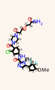 COc1ccc(-c2cnc(C(=O)Nc3ccc(C(=O)N4CCN(C(=O)CCOCCC(N)=O)CC4)c(Cl)c3)n2C)c(F)c1F